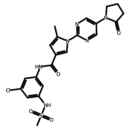 Cc1cc(C(=O)Nc2cc(Cl)cc(NS(C)(=O)=O)c2)cn1-c1ncc(N2CCCC2=O)cn1